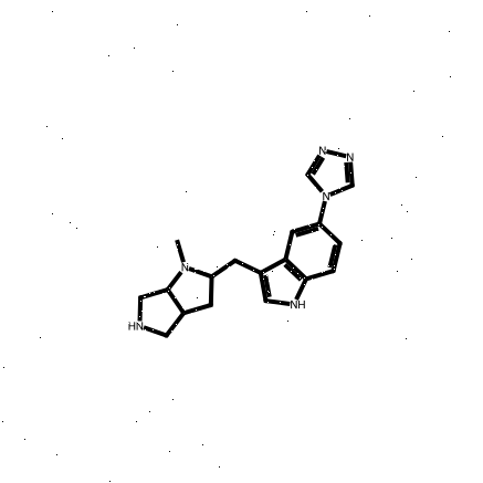 CN1C(Cc2c[nH]c3ccc(-n4cnnc4)cc23)CC2CNCC21